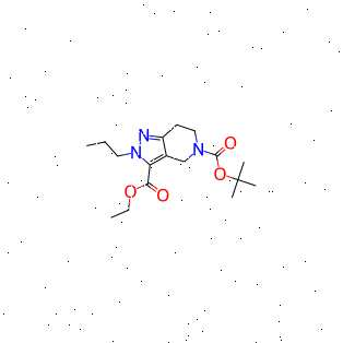 CCCn1nc2c(c1C(=O)OCC)CN(C(=O)OC(C)(C)C)CC2